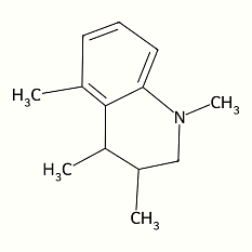 Cc1cccc2c1C(C)C(C)CN2C